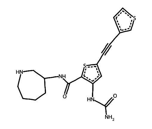 NC(=O)Nc1cc(C#Cc2ccsc2)sc1C(=O)NC1CCCCNC1